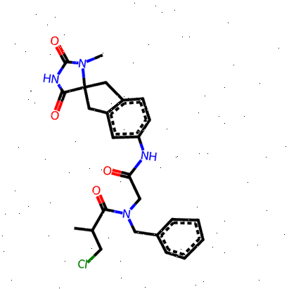 CC(CCl)C(=O)N(CC(=O)Nc1ccc2c(c1)CC1(C2)C(=O)NC(=O)N1C)Cc1ccccc1